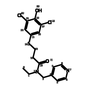 CCN(Cc1ccncc1)C(=O)CCSc1cc(Cl)c(O)c(Cl)c1